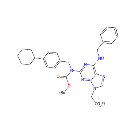 CCOC(=O)Cn1cnc2c(NCc3ccccc3)nc(N(Cc3ccc(C4CCCCC4)cc3)C(=O)OC(C)(C)C)nc21